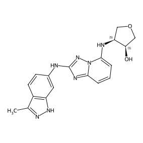 Cc1n[nH]c2cc(Nc3nc4cccc(N[C@H]5COC[C@H]5O)n4n3)ccc12